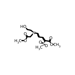 COC(=O)CN(/C=C/C=C(/C(=O)OC)S(C)(=O)=O)CCO